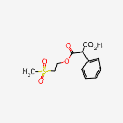 CS(=O)(=O)CCOC(=O)C(C(=O)O)c1ccccc1